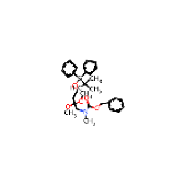 COC(CCO[Si](c1ccccc1)(c1ccccc1)C(C)(C)C)(CN(C)C(=O)OCc1ccccc1)OC